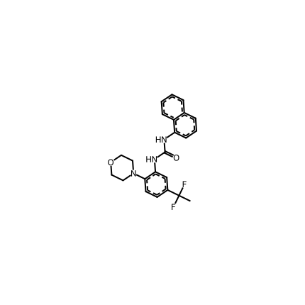 CC(F)(F)c1ccc(N2CCOCC2)c(NC(=O)Nc2cccc3ccccc23)c1